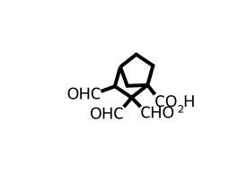 O=CC1C2CCC(C(=O)O)(C2)C1(C=O)C=O